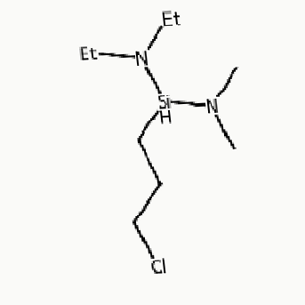 CCN(CC)[SiH](CCCCl)N(C)C